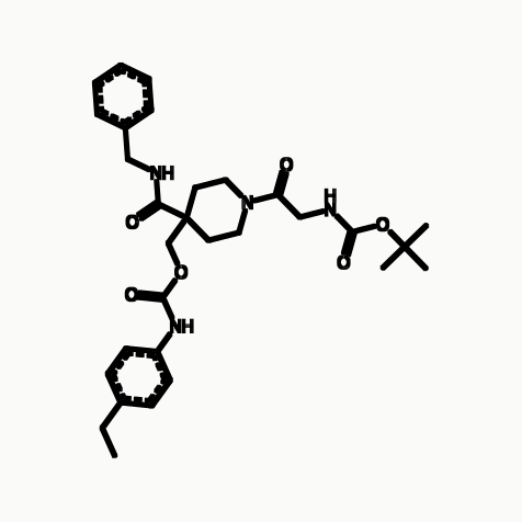 CCc1ccc(NC(=O)OCC2(C(=O)NCc3ccccc3)CCN(C(=O)CNC(=O)OC(C)(C)C)CC2)cc1